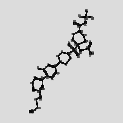 Cc1cc(C2CCN(S(=O)(=O)C3(OC(=O)O)CCN(C(=O)OC(C)(C)C)CC3)CC2)ccc1-c1cccc(OCCO)n1